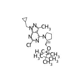 Cc1nn(CC2CC2)c2nc(Cl)nc(N3CCC[C@H]3CO[Si](C)(C)C(C)(C)C)c12